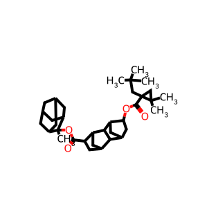 CC(C)(C)CC1(C(=O)OC2CC3CC2C2C4CC(CC4C(=O)OC4(C)C5CC6CC(C5)CC4C6)C32)CC1(C)C